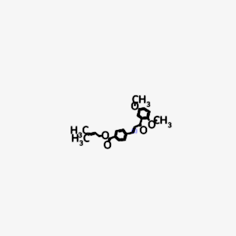 COc1ccc(OC)c(C(=O)/C=C/c2ccc(C(=O)OCC=C(C)C)cc2)c1